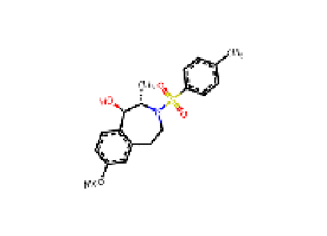 COc1ccc2c(c1)CCN(S(=O)(=O)c1ccc(C)cc1)[C@@H](C)[C@@H]2O